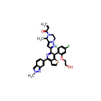 C=CC(=O)N1CCn2nc(-c3nc(-c4ccc5cn(C)nc5c4)c4ccsc4c3-c3c(F)cc(F)cc3OCCO)cc2C1C